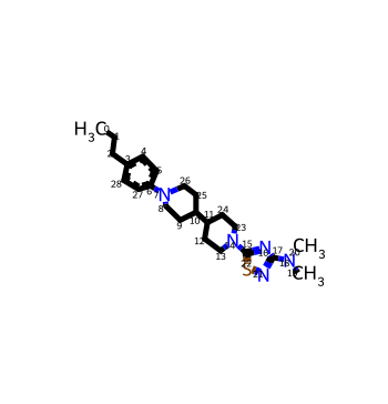 CCCc1ccc(N2CCC(C3CCN(c4nc(N(C)C)ns4)CC3)CC2)cc1